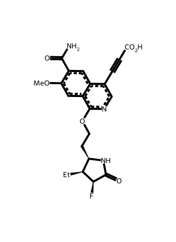 CC[C@@H]1[C@H](F)C(=O)N[C@@H]1CCOc1ncc(C#CC(=O)O)c2cc(C(N)=O)c(OC)cc12